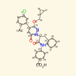 CC(=O)c1ccc(Cl)cc1-c1cc(=O)n(C(Cc2ccccc2)C(=O)Nc2ccc(C(=O)O)cc2)nc1OCC1CC1